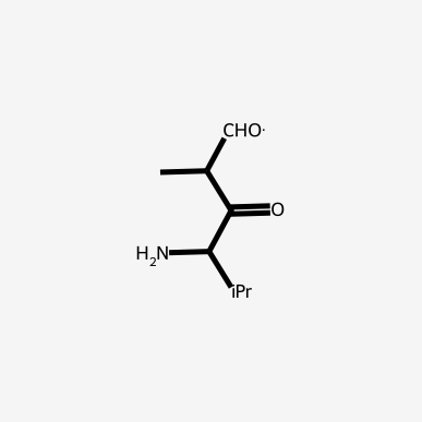 CC([C]=O)C(=O)C(N)C(C)C